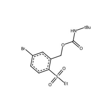 CCS(=O)(=O)c1ccc(Br)cc1COC(=O)NC(C)(C)C